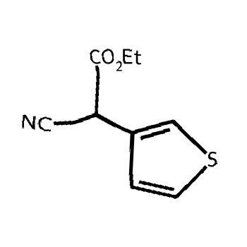 CCOC(=O)C(C#N)c1ccsc1